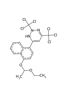 CCOC(C)Oc1ccc(C2=CC(C(Cl)(Cl)Cl)=NN(C(Cl)(Cl)Cl)N2)c2ccccc12